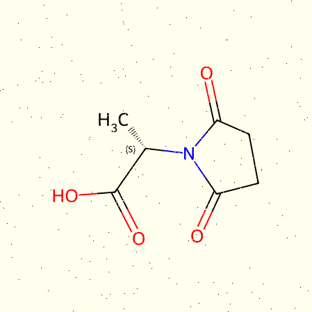 C[C@@H](C(=O)O)N1C(=O)CCC1=O